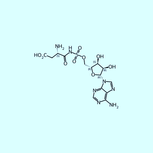 Nc1ncnc2c1ncn2[C@@H]1O[C@H](COS(=O)(=O)NC(=O)[C@@H](N)CC(=O)O)[C@@H](O)[C@H]1O